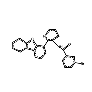 O=C(Nc1cccnc1-c1cccc2c1oc1ccccc12)c1cccc(Br)c1